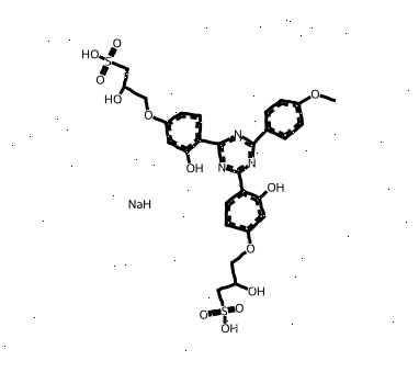 COc1ccc(-c2nc(-c3ccc(OCC(O)CS(=O)(=O)O)cc3O)nc(-c3ccc(OCC(O)CS(=O)(=O)O)cc3O)n2)cc1.[NaH]